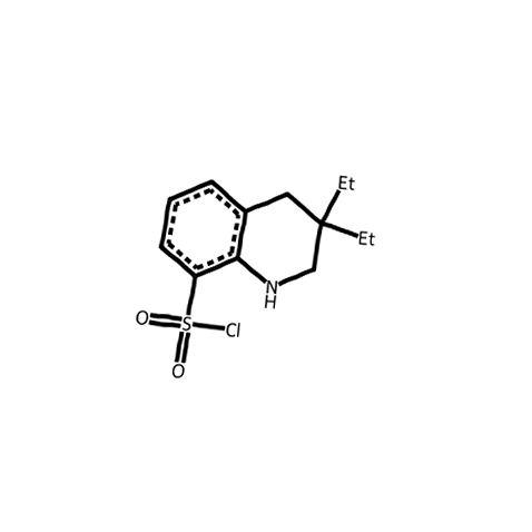 CCC1(CC)CNc2c(cccc2S(=O)(=O)Cl)C1